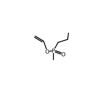 C=COP(C)(=O)CCC